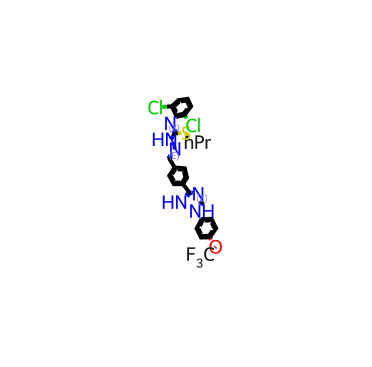 CCCS/C(=N\c1c(Cl)cccc1Cl)N/N=C/c1ccc(C(=N)/N=C\Nc2ccc(OC(F)(F)F)cc2)cc1